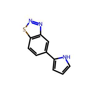 c1c[nH]c(-c2ccc3snnc3c2)c1